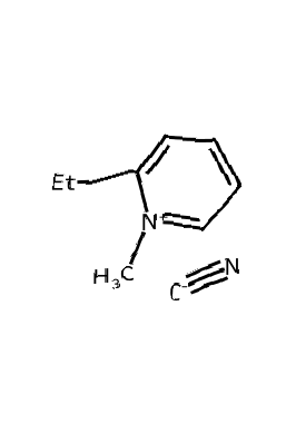 CCc1cccc[n+]1C.[C-]#N